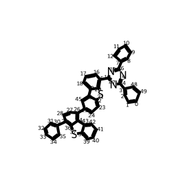 c1ccc(-c2nc(-c3ccccc3)nc(-c3cccc4c3sc3ccc(-c5ccc(-c6ccccc6)c6sc7ccccc7c56)cc34)n2)cc1